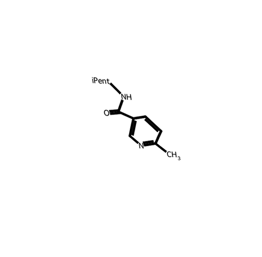 CCCC(C)NC(=O)c1ccc(C)nc1